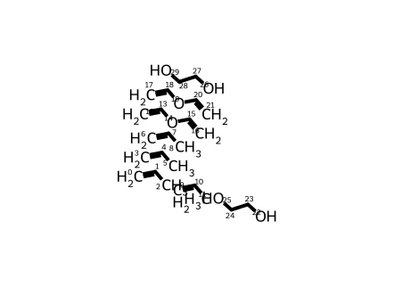 C=CC.C=CC.C=CC.C=CC.C=COC=C.C=COC=C.OCCO.OCCO